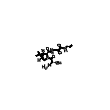 C=CCNC(=O)C(=O)CNC(=O)[C@@H]1[C@@H]2[C@H](CN1C(=O)[C@@H](N)C(C)(C)C)C2(C)C